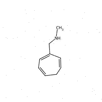 CNCC1=CC=CCC=C1